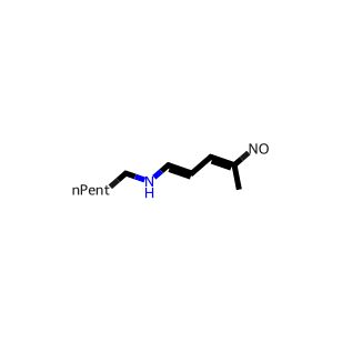 CCCCCCN/C=C/C=C(\C)N=O